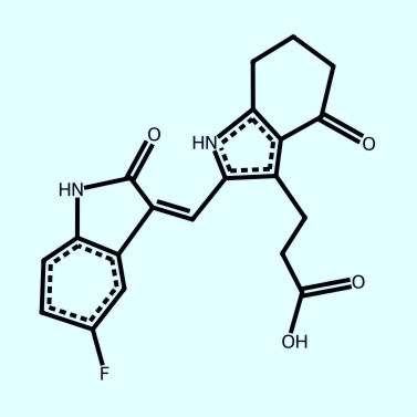 O=C(O)CCc1c(C=C2C(=O)Nc3ccc(F)cc32)[nH]c2c1C(=O)CCC2